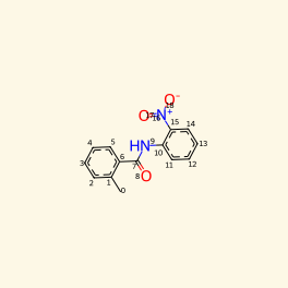 Cc1ccccc1C(=O)Nc1ccccc1[N+](=O)[O-]